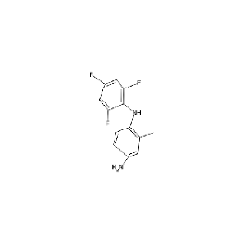 Cc1cc(N)ccc1Nc1c(F)cc(F)cc1F